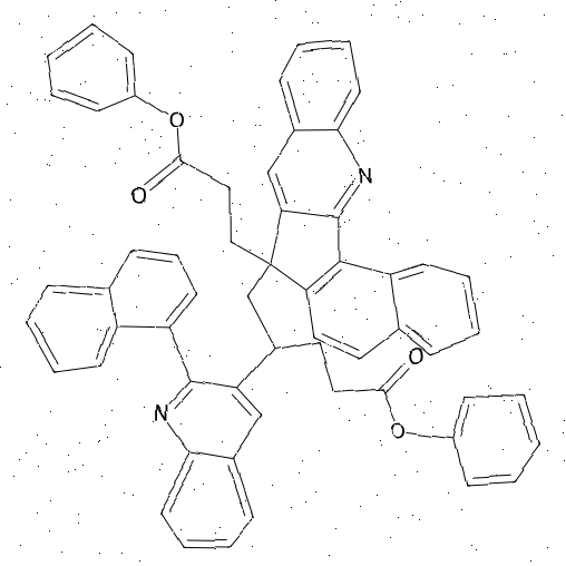 O=C(CCC(CC1(CCC(=O)Oc2ccccc2)c2cc3ccccc3nc2-c2c1ccc1ccccc21)c1cc2ccccc2nc1-c1cccc2ccccc12)Oc1ccccc1